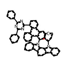 c1ccc(-c2nc(-c3ccccc3)nc(-c3cccc4c5cccc(-n6c7ccccc7c7ccc8c9ccccc9n(-c9ccccc9)c8c76)c5c5ccccc5c34)n2)cc1